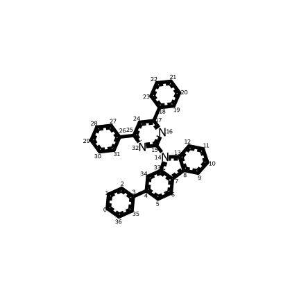 c1ccc(-c2ccc3c4ccccc4n(-c4nc(-c5ccccc5)cc(-c5ccccc5)n4)c3c2)cc1